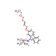 CCOCC/C=C/COc1ccc2c(c1)/C(=N\OC(C)(C)C)c1ccccc1-2